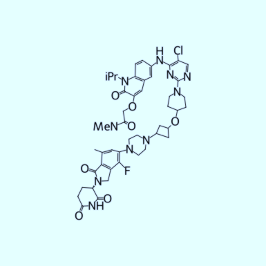 CNC(=O)COc1cc2cc(Nc3nc(N4CCC(OC5CC(N6CCN(c7cc(C)c8c(c7F)CN([C@@H]7CCC(=O)NC7=O)C8=O)CC6)C5)CC4)ncc3Cl)ccc2n(C(C)C)c1=O